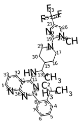 CC(C)c1ccccc1-c1nc(NC(C)C2CCN(c3nc(C(F)(F)F)cn3C)CC2)c2cccnc2n1